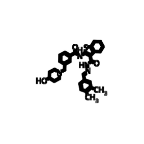 Cc1ccc(/C=N/NC(=O)c2c(NC(=O)c3cccc(CN4CCC(O)CC4)c3)sc3c2CCCC3)cc1C